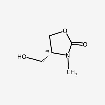 CN1C(=O)OC[C@H]1CO